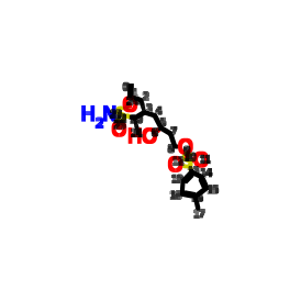 C=CC[C@@H](C[C@H](O)CCOS(=O)(=O)c1ccc(C)cc1)[C@@H](C)S(N)(=O)=O